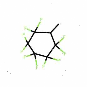 [CH2]C1C(F)(F)C(F)(F)C(F)(F)C(F)(F)C1(F)F